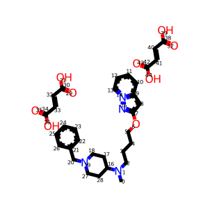 CN(CCCCOc1cc2ccccn2n1)C1CCN(Cc2ccccc2)CC1.O=C(O)C=CC(=O)O.O=C(O)C=CC(=O)O